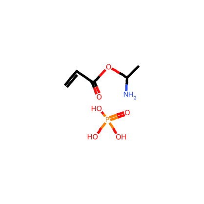 C=CC(=O)OC(C)N.O=P(O)(O)O